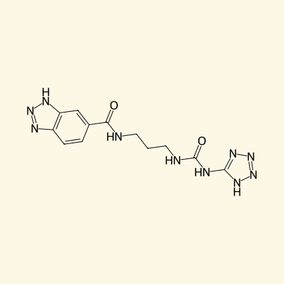 O=C(NCCCNC(=O)c1ccc2nn[nH]c2c1)Nc1nnn[nH]1